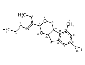 CCON=C(CC)C1OCC2c3c(C)cc(C)cc3CC2O1